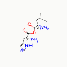 CC(C)C[C@@H](N)C(=O)OC(=O)[C@H](N)Cc1cnc[nH]1